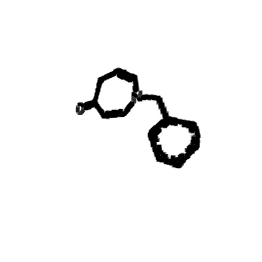 O=C1C=CN(Cc2ccccc2)C=CC1